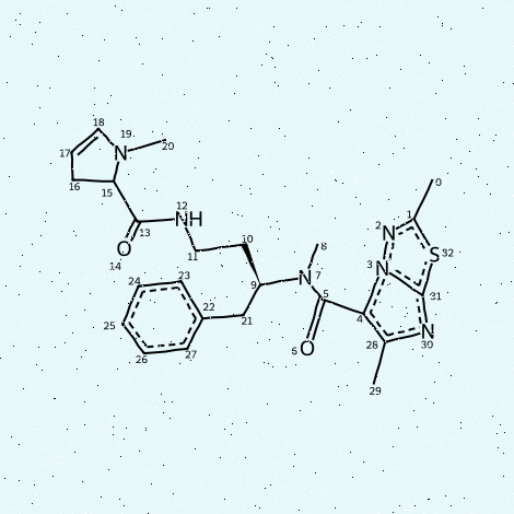 Cc1nn2c(C(=O)N(C)[C@H](CCNC(=O)C3CC=CN3C)Cc3ccccc3)c(C)nc2s1